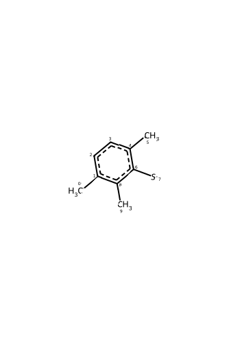 Cc1ccc(C)c([S])c1C